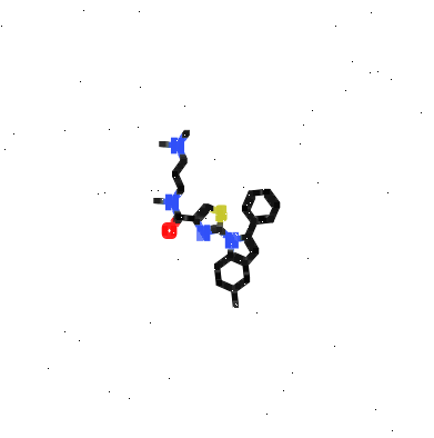 CC1CCc2c(cc(-c3ccccc3)n2-c2nc(C(=O)N(C)CCCN(C)C)cs2)C1